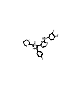 Fc1ccc(-c2nc(C3OCCCO3)[nH]c2-c2ccnc(Nc3ccc(F)c(F)c3)n2)cc1